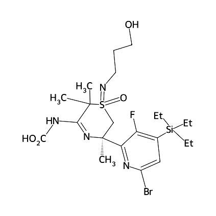 CC[Si](CC)(CC)c1cc(Br)nc([C@]2(C)CS(=O)(=NCCCO)C(C)(C)C(NC(=O)O)=N2)c1F